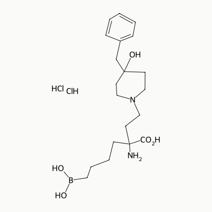 Cl.Cl.NC(CCCCB(O)O)(CCN1CCC(O)(Cc2ccccc2)CC1)C(=O)O